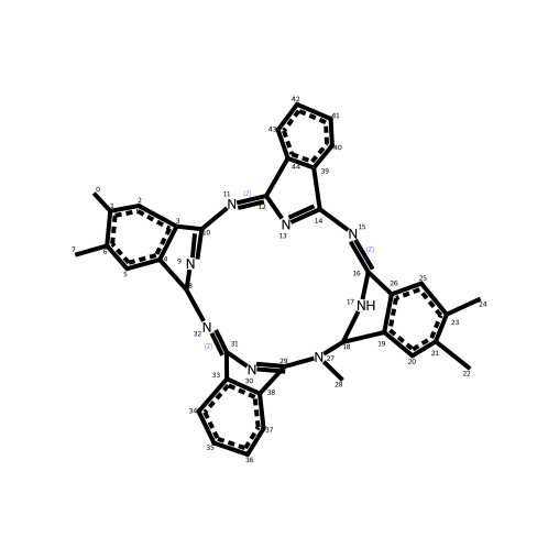 Cc1cc2c(cc1C)C1N=C2/N=C2N=C(/N=C3\NC(c4cc(C)c(C)cc43)N(C)C3=N/C(=N\1)c1ccccc13)c1ccccc1\2